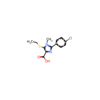 CCSc1c(C(=O)O)nc(-c2ccc(Cl)cc2)n1C